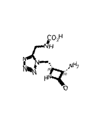 N[C@@H]1C(=O)N[C@@H]1Cn1nnnc1CNC(=O)O